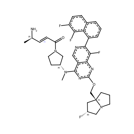 C[C@@H](N)/C=C/C(=O)N1CC[C@@H](N(C)c2nc(OC[C@@]34CCCN3C[C@H](F)C4)nc3c(F)c(-c4cccc5ccc(F)c(F)c45)ncc23)C1